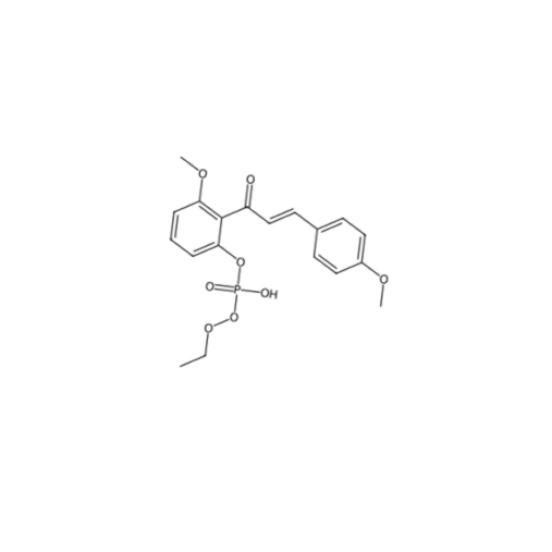 CCOOP(=O)(O)Oc1cccc(OC)c1C(=O)C=Cc1ccc(OC)cc1